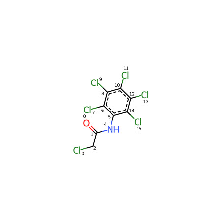 O=C(CCl)Nc1c(Cl)c(Cl)c(Cl)c(Cl)c1Cl